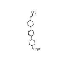 CCCCCCCC1CCC(c2ccc(C3CCC(/C=C/C(F)(F)F)CC3)cc2)CC1